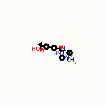 Cc1noc(-c2ccc(-c3ccc(C4(C(=O)O)CC4)cc3)cc2)c1Nc1cccc(N(C)c2ccccc2)c1